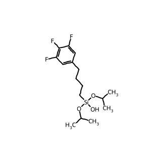 CC(C)O[Si](O)(CCCCc1cc(F)c(F)c(F)c1)OC(C)C